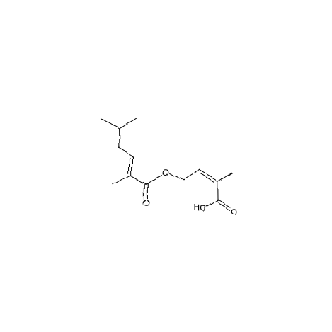 CC(=CCOC(=O)C(C)=CCC(C)C)C(=O)O